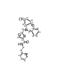 O=C(NCCc1ccccn1)c1coc(CN2Cc3ccccc3Oc3ccc(Cl)cc32)n1